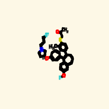 CC(=O)CSc1ccc(C2=C(C3=CC=C(O[C@H]4CCN(CCCF)C4)CC=C3)c3ccc(OF)cc3CCC2)cc1C